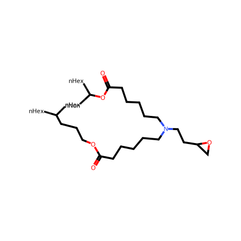 CCCCCCCCCC(CCCCCC)OC(=O)CCCCCN(CCCCCC(=O)OCCCC(CCCCCC)CCCCCC)CCC1CO1